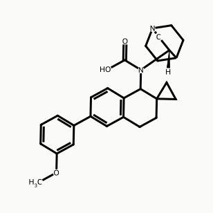 COc1cccc(-c2ccc3c(c2)CCC2(CC2)C3N(C(=O)O)[C@@H]2CN3CCC2CC3)c1